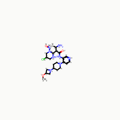 COC1CN(C2CCN(c3ccncc3NC(=O)C(C(C)N)C3NCC(Cl)CN3N=O)CC2)C1